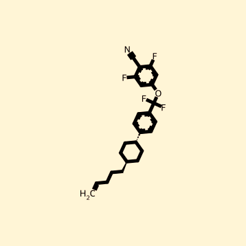 C=CCCC[C@H]1CC[C@H](c2ccc(C(F)(F)Oc3cc(F)c(C#N)c(F)c3)cc2)CC1